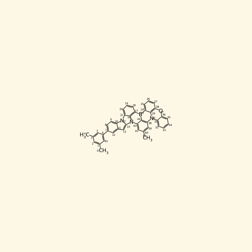 Cc1cc(C)cc(-c2ccc3c(c2)cc2n4c5c(cccc5n32)B2c3cccc5c3N(c3ccccc3O5)c3cc(C)cc-4c32)c1